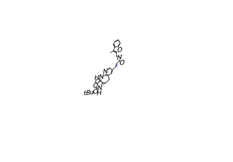 Cc1c(CN(C)C(=O)/C=C/c2cnc3c(c2)CC[C@H](NC(=O)OC(C)(C)C)C(=O)N3)oc2ccccc12